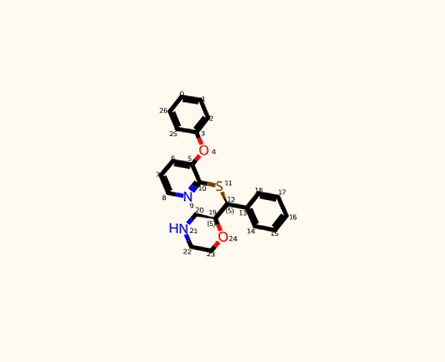 c1ccc(Oc2cccnc2S[C@@H](c2ccccc2)[C@@H]2CNCCO2)cc1